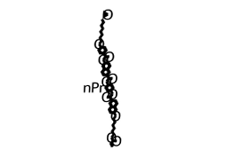 C=CC(=O)OCCCCCCOc1ccc2cc(C(=O)Oc3ccc(OC(=O)c4ccc5cc(OC(=O)c6ccc(OCCCCCCCC[C@@H]7CO7)cc6)ccc5c4)c(CCC)c3)ccc2c1